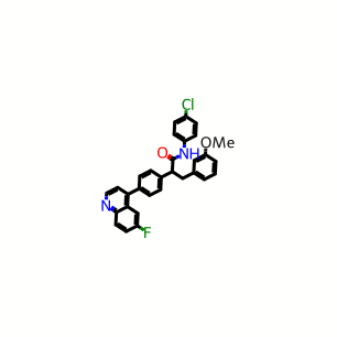 COc1cccc(CC(C(=O)Nc2ccc(Cl)cc2)c2ccc(-c3ccnc4ccc(F)cc34)cc2)c1